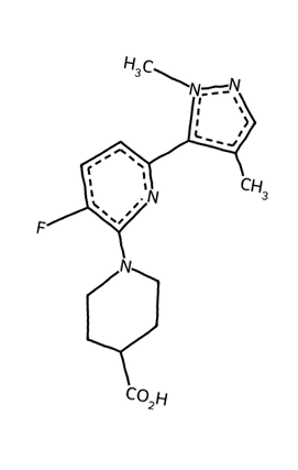 Cc1cnn(C)c1-c1ccc(F)c(N2CCC(C(=O)O)CC2)n1